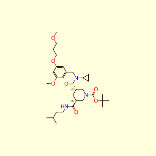 COCCCOc1cc(CN(C(=O)[C@H]2C[C@H](C(=O)NCCC(C)C)CN(C(=O)OC(C)(C)C)C2)C2CC2)cc(OC)c1